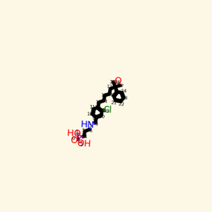 O=P(O)(O)CCCNCc1ccc(CCCCCC2(c3ccccc3)COC2)c(Cl)c1